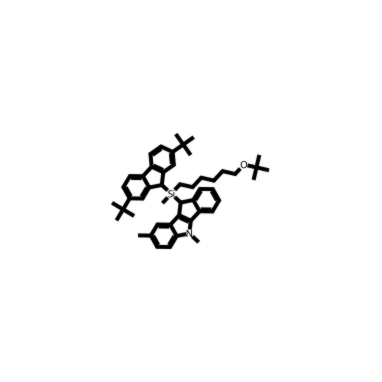 Cc1ccc2c(c1)c1c(n2C)-c2ccccc2C1[Si](C)(CCCCCCOC(C)(C)C)C1c2cc(C(C)(C)C)ccc2-c2ccc(C(C)(C)C)cc21